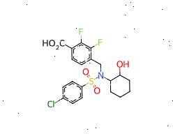 O=C(O)c1ccc(CN(C2CCCCC2O)S(=O)(=O)c2ccc(Cl)cc2)c(F)c1F